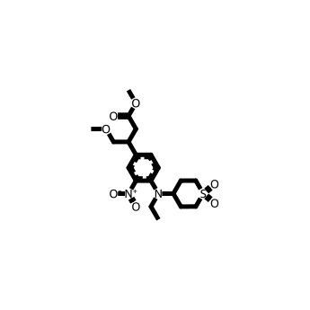 CCN(c1ccc(C(COC)CC(=O)OC)cc1[N+](=O)[O-])C1CCS(=O)(=O)CC1